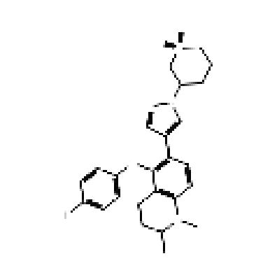 CC1CCc2c(ccc(-c3cnn(C4CCCS(=O)(=O)C4)c3)c2Oc2ccc(F)cc2)N1C